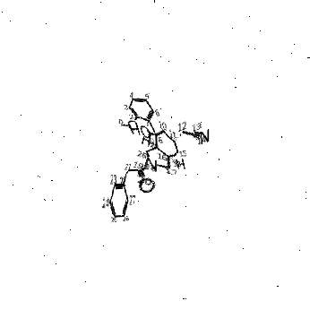 COc1ccccc1[C@]1(O)C[C@H](CC#N)C[C@H]2CN(C(=O)Cc3ccccc3)C[C@H]21